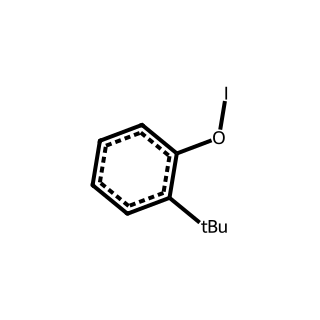 CC(C)(C)c1ccccc1OI